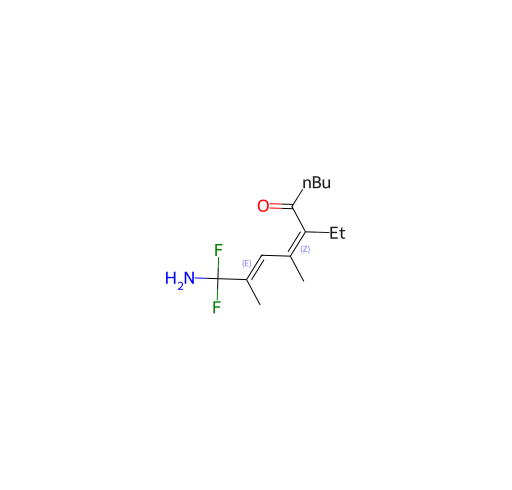 CCCCC(=O)/C(CC)=C(C)\C=C(/C)C(N)(F)F